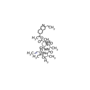 C=Cc1cc2cc([C@@H](C)OC(=O)C3(C)CCCN(C(=O)C(C)NC(=O)[C@@H](NC(=O)[C@H](C)C(/C=C/C)OC)C(C)C)N3)ccc2cn1